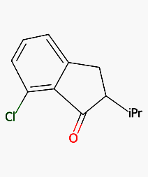 CC(C)C1Cc2cccc(Cl)c2C1=O